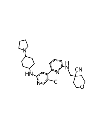 N#CC1(CNc2cccc(-c3cc(NC4CCC(N5CCCC5)CC4)ncc3Cl)n2)CCOCC1